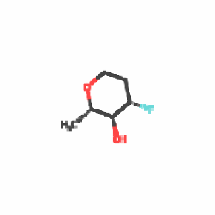 C[C@@H]1OCC[C@H](F)[C@H]1O